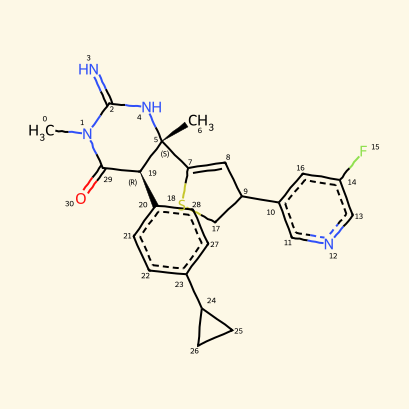 CN1C(=N)N[C@](C)(C2=CC(c3cncc(F)c3)CS2)[C@@H](c2ccc(C3CC3)cc2)C1=O